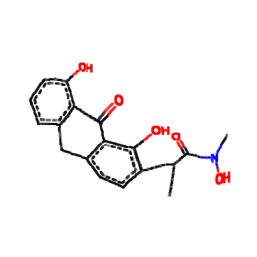 CC(C(=O)N(C)O)c1ccc2c(c1O)C(=O)c1c(O)cccc1C2